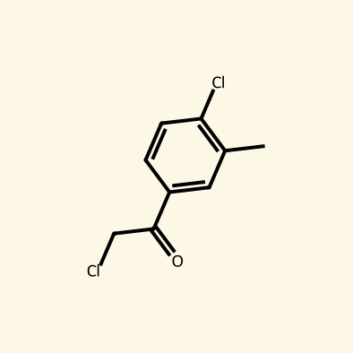 Cc1cc(C(=O)CCl)ccc1Cl